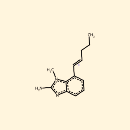 CCC/C=C/c1cccc2nc(N)n(C)c12